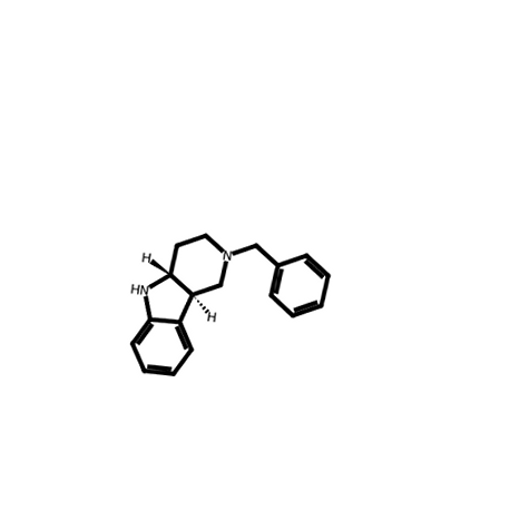 c1ccc(CN2CC[C@H]3Nc4ccccc4[C@@H]3C2)cc1